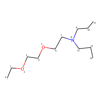 [CH2]COCCOCCN(CCC)CCC